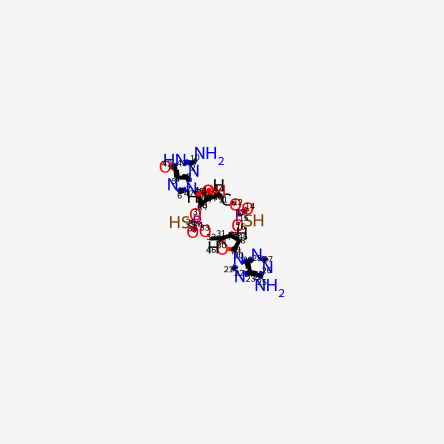 Nc1nc2c(ncn2[C@@H]2O[C@@H]3COP(=O)(S)O[C@H]4C[C@H](n5cnc6c(N)ncnc65)O[C@@H]4COP(=O)(S)O[C@@H]2[C@@H]3O)c(=O)[nH]1